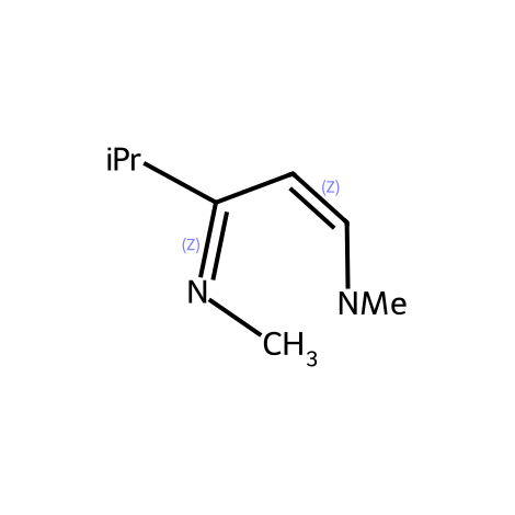 C/N=C(\C=C/NC)C(C)C